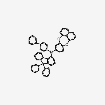 c1ccc(-c2ccc(N(c3ccc4c(c3)Oc3cccc5cccc(c35)O4)c3cccc4c3-c3ccccc3C4(c3ccccc3)c3ccccc3)cc2)cc1